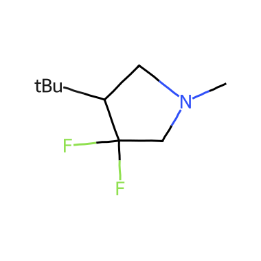 CN1CC(C(C)(C)C)C(F)(F)C1